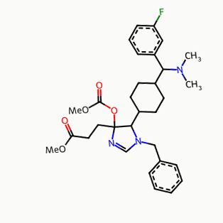 COC(=O)CCC1(OC(=O)OC)N=CN(Cc2ccccc2)C1C1CCC(C(c2cccc(F)c2)N(C)C)CC1